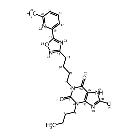 CCCCn1c(=O)n(CCCCc2noc(-c3cccc(C)n3)n2)c(=O)c2[nH]c(Cl)nc21